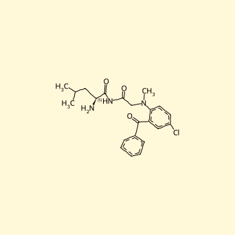 CC(C)C[C@H](N)C(=O)NC(=O)CN(C)c1ccc(Cl)cc1C(=O)c1ccccc1